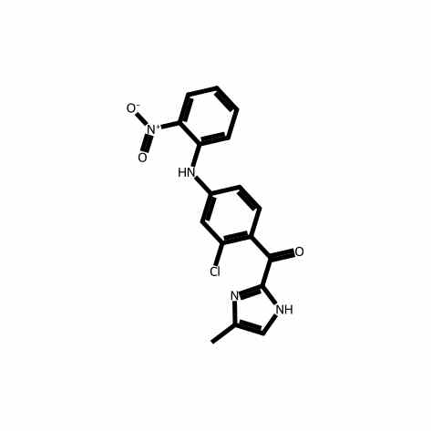 Cc1c[nH]c(C(=O)c2ccc(Nc3ccccc3[N+](=O)[O-])cc2Cl)n1